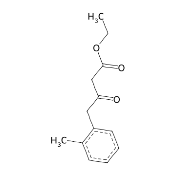 CCOC(=O)CC(=O)Cc1ccccc1C